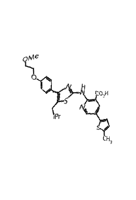 COCCOc1ccc(-c2nc(Nc3ncc(-c4ccc(C)s4)cc3C(=O)O)sc2CC(C)C)cc1